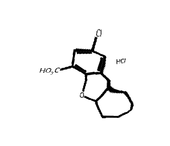 Cl.O=C(O)c1cc(Cl)cc2c1OC1CCCCC21